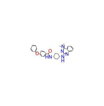 CN(C)c1nc(N[C@H]2CC[C@@H](NC(=O)c3ccc(Oc4ccccc4)cc3)CC2)nc2ccccc12